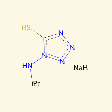 CC(C)Nn1nnnc1S.[NaH]